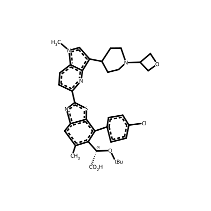 Cc1cc2nc(-c3ccc4c(n3)c(C3CCN(C5COC5)CC3)cn4C)sc2c(-c2ccc(Cl)cc2)c1[C@H](OC(C)(C)C)C(=O)O